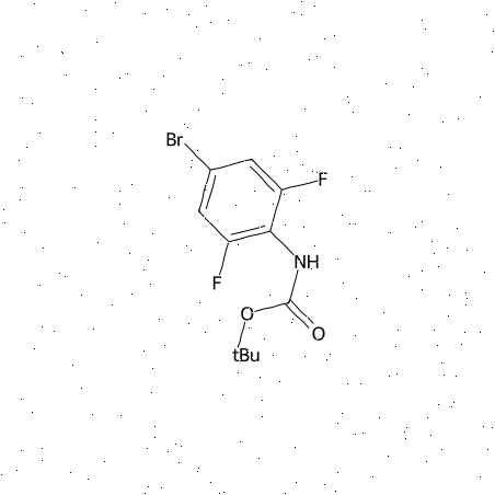 CC(C)(C)OC(=O)Nc1c(F)cc(Br)cc1F